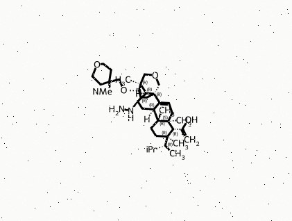 C=C(O)[C@@H]1[C@@](C)([C@H](C)C(C)C)CC[C@]2(C)[C@H]3CC[C@@H]4[C@@]5(COC[C@]4(C)[C@@H](OCC4(NC)CCOCC4)[C@H](NN)C5)C3=CC[C@@]12C